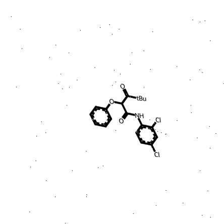 CC(C)(C)C(=O)C(Oc1ccccc1)C(=O)Nc1ccc(Cl)cc1Cl